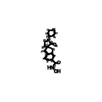 O=C(NO)c1ccc2c(c1)C[C@]1(CCN(c3ccncc3)C1=O)C2